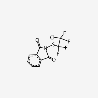 O=C1c2ccccc2C(=O)N1SC(F)(F)C(F)(F)Cl